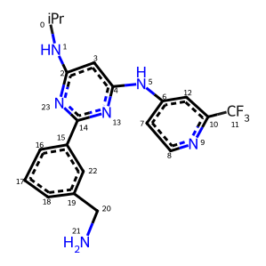 CC(C)Nc1cc(Nc2ccnc(C(F)(F)F)c2)nc(-c2cccc(CN)c2)n1